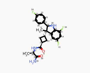 C[C@@H](NC(=O)[C@H]1C[C@H](C2(C)c3cc(F)cc(F)c3NC2c2ccc(F)cc2)C1)C(N)=O